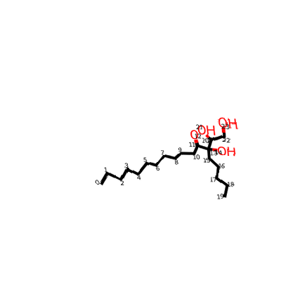 CCCCCCCCCCCC(=O)C(O)(CCCCC)C(O)CO